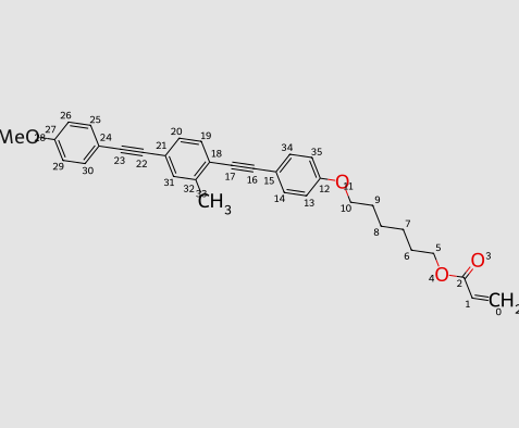 C=CC(=O)OCCCCCCOc1ccc(C#Cc2ccc(C#Cc3ccc(OC)cc3)cc2C)cc1